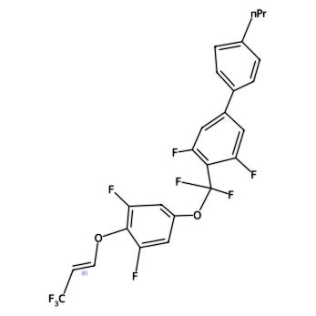 CCCc1ccc(-c2cc(F)c(C(F)(F)Oc3cc(F)c(O/C=C/C(F)(F)F)c(F)c3)c(F)c2)cc1